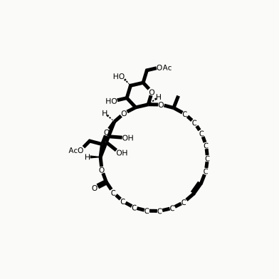 CC(=O)OCC1O[C@H]2OC(C)CCCCCC/C=C\CCCCCCCC(=O)O[C@@H]3C(COC(C)=O)O[C@@H](OC2C(O)[C@@H]1O)C(O)C3O